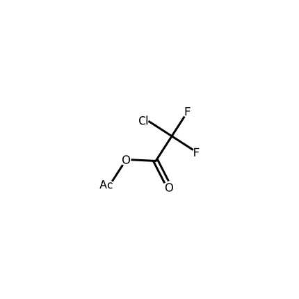 CC(=O)OC(=O)C(F)(F)Cl